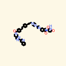 O=C1CCC(N2CC3=C(CCC(N4CC(N5CCN(CC#Cc6ccc(/C=C/c7ccc(C(=O)N8CCc9cnc(-c%10cnc%11ccccc%11c%10)nc9C8)cc7)cc6)CC5)C4)=C3)C2=O)C(=O)N1